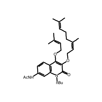 CCCCn1c(=O)c(OCC=C(C)CCC=C(C)C)c(OCC=C(C)C)c2ccc(NC(C)=O)cc21